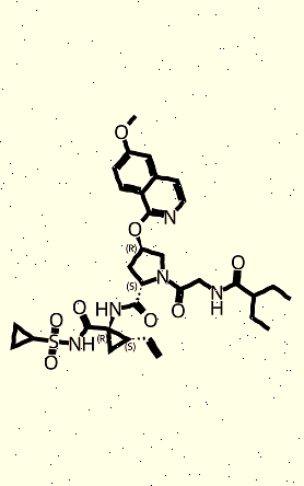 C=C[C@@H]1C[C@]1(NC(=O)[C@@H]1C[C@@H](Oc2nccc3cc(OC)ccc23)CN1C(=O)CNC(=O)C(CC)CC)C(=O)NS(=O)(=O)C1CC1